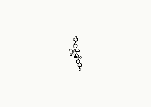 CCN(C(=O)OC(C)(C)C)N(C(=O)CCS(=O)(=O)c1ccc2cc(Cl)ccc2c1)C1CCN(c2ccncc2)CC1